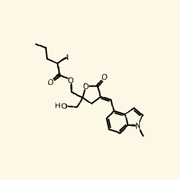 CCCC(I)C(=O)OCC1(CO)C/C(=C\c2cccc3c2ccn3C)C(=O)O1